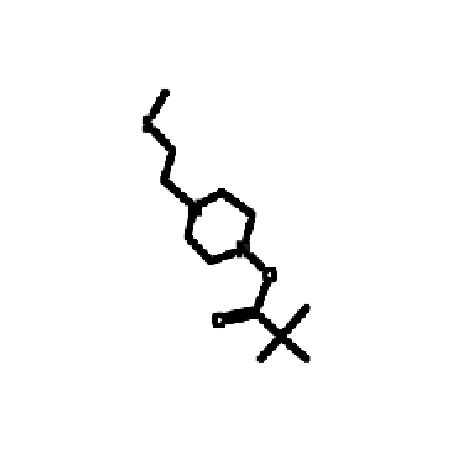 CSCCN1CCN(OC(=O)C(C)(C)C)CC1